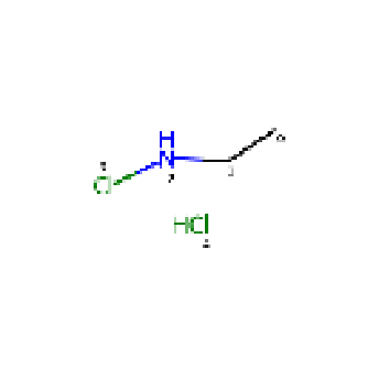 CCNCl.Cl